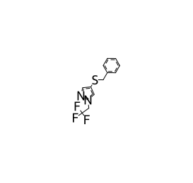 FC(F)(F)Cn1cc(SCc2ccccc2)cn1